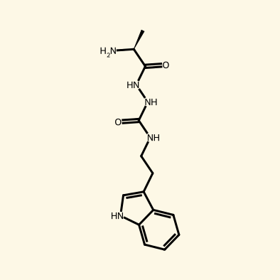 C[C@H](N)C(=O)NNC(=O)NCCc1c[nH]c2ccccc12